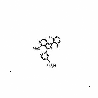 COc1nccc2c1c(-c1cccc(CC(=O)O)c1)nn2-c1c(F)cccc1F